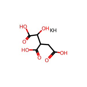 O=C(O)CC(C(=O)O)C(O)C(=O)O.[KH]